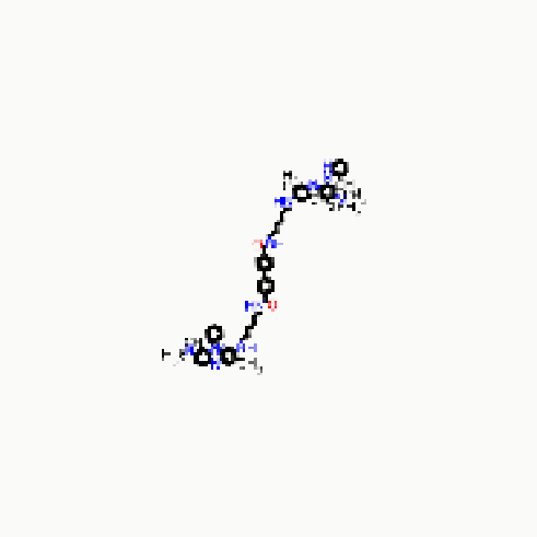 C=C1C=C(NCCCCCCNC(=O)c2ccc(-c3ccc(C(=O)NCCCCCCNc4cc5c(cc4C)nc4ccc(N(C)C)c(C)c4[n+]5-c4ccccc4)cc3)cc2)C(C)=C/C1=N/c1ccc(N(C)C)c(C)c1Nc1ccccc1